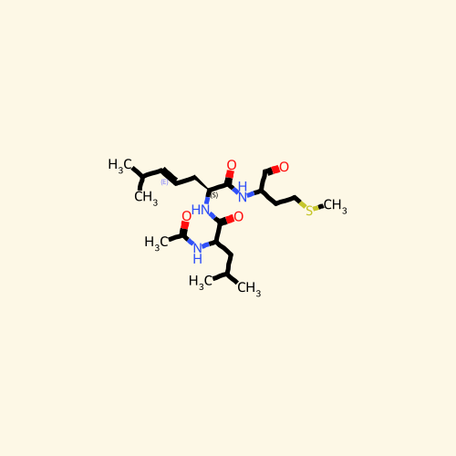 CSCCC(C=O)NC(=O)[C@H](C/C=C/C(C)C)NC(=O)C(CC(C)C)NC(C)=O